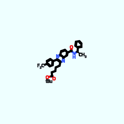 C[C@H](NC(=O)c1ccc2nc(-c3ccc(C(F)(F)F)cc3)c(CCCCC(=O)OC(C)(C)C)nc2c1)c1ccccc1